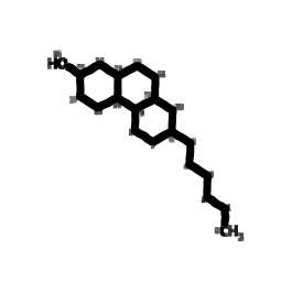 CCCCCCC1CCC2C(CCC3CC(O)CCC32)C1